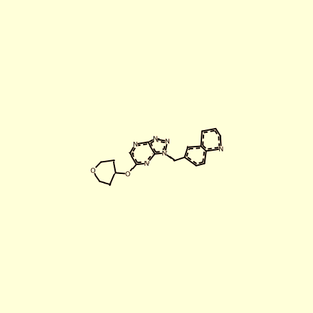 c1cnc2ccc(Cn3nnc4ncc(OC5CCOCC5)nc43)cc2c1